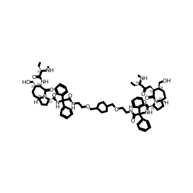 CC[C@H](NC)C(=O)C[C@@H]1C(=O)N2[C@@H](CC[C@@H]1CO)CC[C@H]2C(=O)NC(C(=O)NCCOCC1CCC(COCCNC(=O)C(NC(=O)[C@@H]2CC[C@@H]3CC[C@H](CO)[C@H](NC(=O)[C@H](CC)NC)C(=O)N32)(c2ccccc2)c2ccccc2)CC1)(c1ccccc1)c1ccccc1